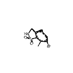 Cc1c(Br)ccc2c1S(=O)(=O)NC2